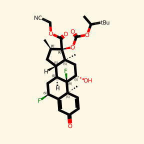 CC(OC(=O)O[C@]1(C(=O)OCC#N)[C@H](C)C[C@H]2[C@@H]3C[C@H](F)C4=CC(=O)C=C[C@]4(C)[C@@]3(F)[C@@H](O)C[C@@]21C)C(C)(C)C